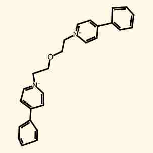 c1ccc(-c2cc[n+](CCOCC[n+]3ccc(-c4ccccc4)cc3)cc2)cc1